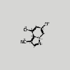 N#Cc1cnn2cc(Cl)cc(Cl)c12